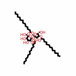 CCCCCCCCCCCCCC(=O)OC[C@@]1(O[C@H]2O[C@H](CO)[C@@H](O)[C@H](O)[C@H]2O)O[C@H](CO)[C@@H](OC(=O)CCCCCCCCCCCCC)[C@@H]1OC(=O)CCCCCCCCCCCCC